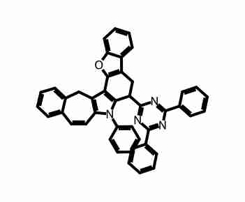 C1=Cc2c(c3c(n2-c2ccccc2)C(c2nc(-c4ccccc4)nc(-c4ccccc4)n2)Cc2c-3oc3ccccc23)Cc2ccccc21